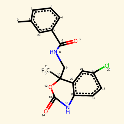 Cc1cccc(C(=O)NCC2(C(F)(F)F)OC(=O)Nc3ccc(Cl)cc32)c1